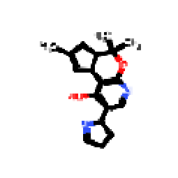 CC1=CC2c3c(ncc(C4CCC=N4)c3O)OC(C)(C)C2C1